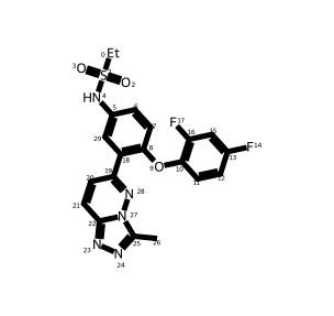 CCS(=O)(=O)Nc1ccc(Oc2ccc(F)cc2F)c(-c2ccc3nnc(C)n3n2)c1